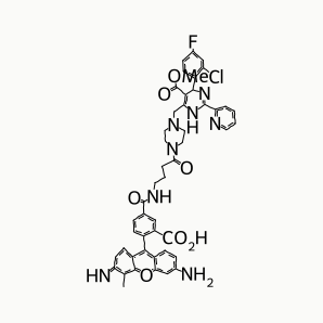 COC(=O)C1=C(CN2CCN(C(=O)CCCNC(=O)c3ccc(-c4c5ccc(=N)c(C)c-5oc5cc(N)ccc45)c(C(=O)O)c3)CC2)NC(c2ccccn2)=NC1c1ccc(F)cc1Cl